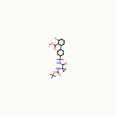 COC(=O)c1c(F)cccc1-c1ccc(C(C)(C)NC(=O)C2(NC(=O)OC(C)(C)C)CC2)cc1